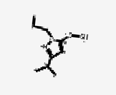 CCCn1nc(C(C)C)cc1SS